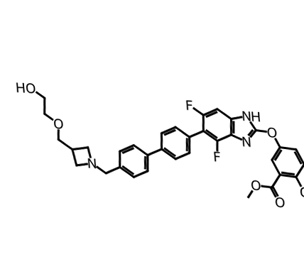 COC(=O)c1cc(Oc2nc3c(F)c(-c4ccc(-c5ccc(CN6CC(COCCO)C6)cc5)cc4)c(F)cc3[nH]2)ccc1Cl